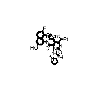 [2H]C([2H])(Oc1nc(C(CC)CCCCC)c2ccn(-c3cc(O)cc4ccc(F)c(CC)c34)c(=O)c2n1)[C@@H]1CCCN1C